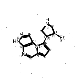 CC[C@@H]1CNC[C@@H]1c1ccc2cnc3[nH]ccc3n12